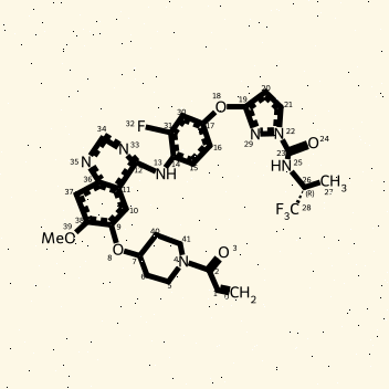 C=CC(=O)N1CCC(Oc2cc3c(Nc4ccc(Oc5ccn(C(=O)N[C@H](C)C(F)(F)F)n5)cc4F)ncnc3cc2OC)CC1